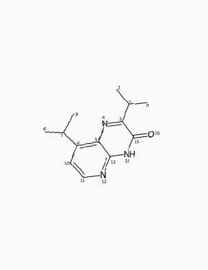 CC(C)c1nc2c(C(C)C)ccnc2[nH]c1=O